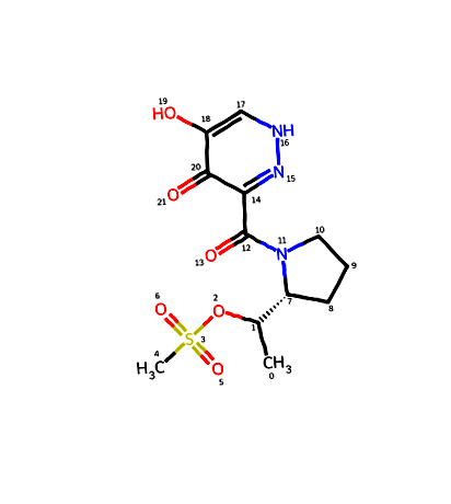 CC(OS(C)(=O)=O)[C@H]1CCCN1C(=O)c1n[nH]cc(O)c1=O